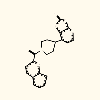 O=C(c1ccc2ccccc2n1)N1CCC(c2ccnc3[nH]c(=O)[nH]c23)CC1